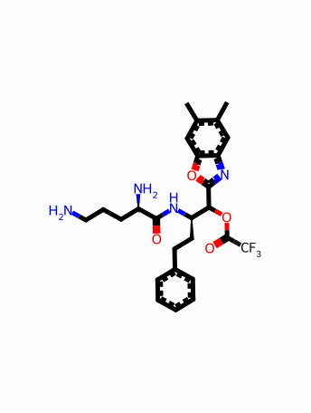 Cc1cc2nc(C(OC(=O)C(F)(F)F)[C@@H](CCc3ccccc3)NC(=O)[C@H](N)CCCN)oc2cc1C